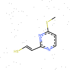 CSc1ccnc(/C=C/S)n1